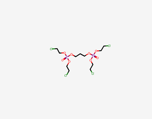 O=P(OCCCl)(OCCCl)OCCCOP(=O)(OCCCl)OCCCl